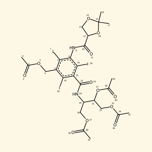 CC(=O)OCc1c(I)c(NC(=O)C2COC(C)(C)O2)c(I)c(C(=O)NC(COC(C)=O)C(COC(C)=O)OC(C)=O)c1I